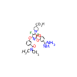 CN(C)C(=O)c1cccc(Oc2nc(Oc3cc(C(=N)N)ccc3O)c(F)c(N3CCC(C(=O)O)CC3)c2F)c1